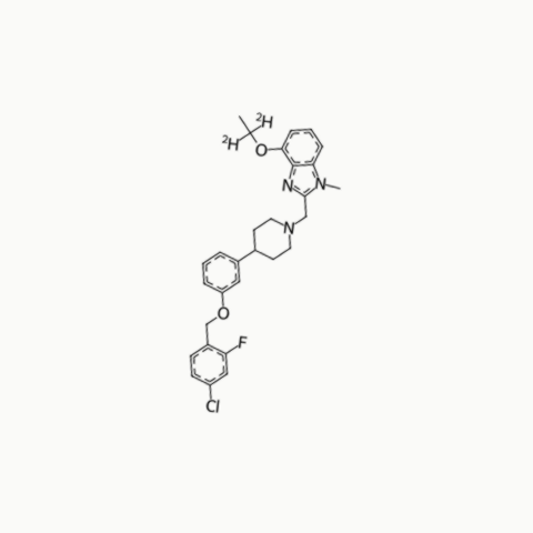 [2H]C([2H])(C)Oc1cccc2c1nc(CN1CCC(c3cccc(OCc4ccc(Cl)cc4F)c3)CC1)n2C